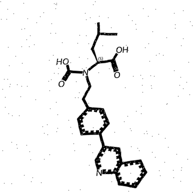 CC(C)C[C@@H](C(=O)O)N(CCc1ccc(-c2cnc3ccccc3c2)cc1)C(=O)O